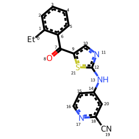 CCc1ccccc1C(=O)c1cnc(Nc2ccnc(C#N)c2)s1